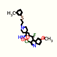 COc1ccc2ncc(Cl)c([C@H](F)CCC3(C(=O)NO)CCN(CCCSc4cccc(C)c4)CC3)c2c1